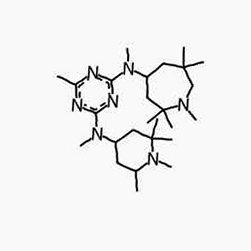 Cc1nc(N(C)C2CC(C)(C)CN(C)C(C)(C)C2)nc(N(C)C2CC(C)N(C)C(C)(C)C2)n1